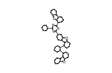 c1ccc(-c2nc(-c3ccc4c(c3)oc3cccc(-c5ccccc5-c5cccc6oc7ccccc7c56)c34)nc(-c3cccc4c3oc3ccccc34)n2)cc1